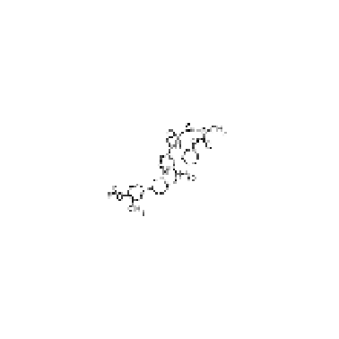 CNC(=O)O[C@H]1CC[C@H](C(=O)N(C[C@H]2CC[C@H](c3ccc(OC)c(C)c3)CC2)c2cc(-c3coc(C4CC4)n3)ccn2)CC1